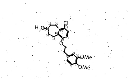 COc1ccc(CCOc2ccc(Cl)c3c2CCN(C)CC3)cc1OC